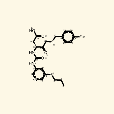 CCCSc1cncc(NC(=O)N[C@@H](CC(=O)O)C(=O)CSCc2ccc(F)cc2)c1